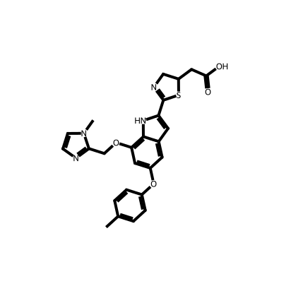 Cc1ccc(Oc2cc(OCc3nccn3C)c3[nH]c(C4=NCC(CC(=O)O)S4)cc3c2)cc1